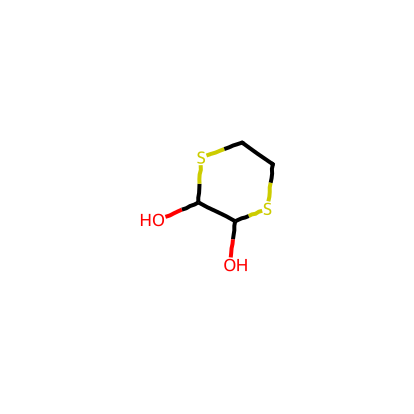 OC1SCCSC1O